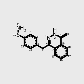 C=C1NN=C(Cc2ccc(SN)cc2)c2ccccc21